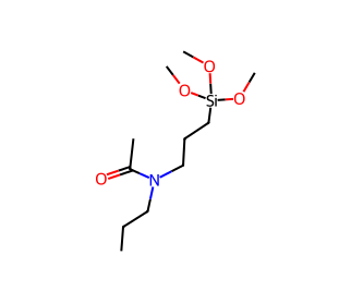 CCCN(CCC[Si](OC)(OC)OC)C(C)=O